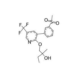 CCC(C)(O)COc1ncc(C(F)(F)F)cc1-c1cccc(S(C)(=O)=O)c1